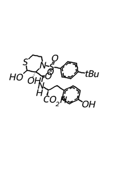 CC(C)(C)c1ccc(S(=O)(=O)N2CCSC(O)[C@]2(O)C(=O)N[C@@H](Cc2ccc(O)cc2)C(=O)O)cc1